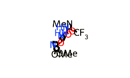 CN/C=C(/OCC(F)(F)F)C(=N)C(=O)Nc1ccc(Oc2ccnc3cc(OC)c(OC)cc23)cn1